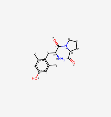 Cc1cc(O)cc(C)c1C[C@H](N)C(=O)N1CCC[C]1C=O